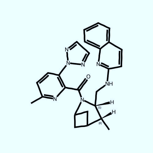 Cc1ccc(-n2nccn2)c(C(=O)N2C3CC(C3)[C@@H](C)[C@H]2CNc2ccc3ccccc3n2)n1